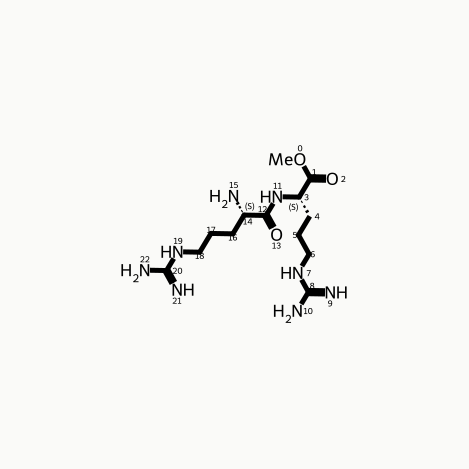 COC(=O)[C@H](CCCNC(=N)N)NC(=O)[C@@H](N)CCCNC(=N)N